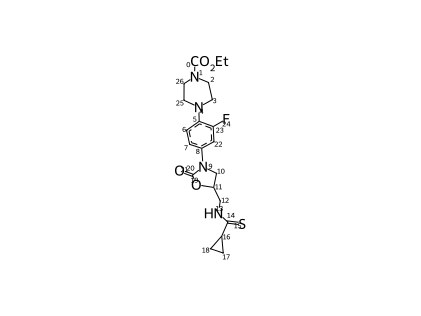 CCOC(=O)N1CCN(c2ccc(N3CC(CNC(=S)C4CC4)OC3=O)cc2F)CC1